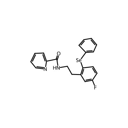 O=C(NCCc1cc(F)ccc1[Se]c1ccccc1)c1ccccn1